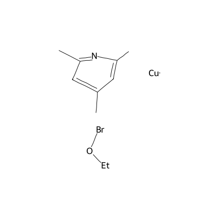 CCOBr.Cc1cc(C)nc(C)c1.[Cu]